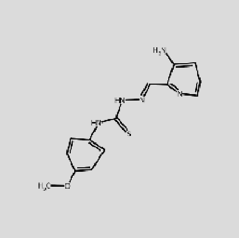 COc1ccc(NC(=S)N/N=C/c2ncccc2N)cc1